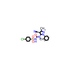 Cc1nn(-c2ccccc2)c(N(C)C(=O)NS(=O)(=O)c2ccc(Cl)cc2)c1C#N